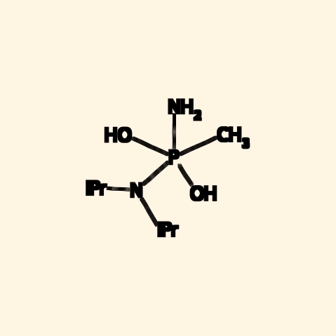 CC(C)N(C(C)C)P(C)(N)(O)O